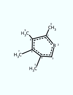 Cc1bcc(C)c(C)c1C